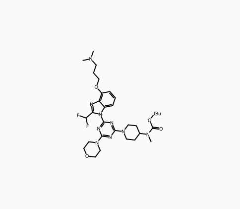 CN(C)CCCOc1cccc2c1nc(C(F)F)n2-c1nc(N2CCOCC2)nc(N2CCC(N(C)C(=O)OC(C)(C)C)CC2)n1